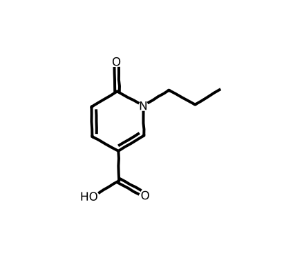 CCCn1cc(C(=O)O)ccc1=O